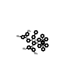 CC(C)(C)c1ccc2c(c1)c1cc(C(C)(C)C)ccc1n2-c1cccc(N(c2ccc(-c3ccccc3)cc2)c2cc(-n3c4ccc(C(C)(C)C)cc4c4cc(C(C)(C)C)ccc43)cc(N(c3cccc([Si](c4ccccc4)(c4ccccc4)c4ccccc4)c3)c3cccc([Si](c4ccccc4)(c4ccccc4)c4ccccc4)c3)c2Cl)c1